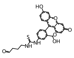 O=CCCCNC(=S)Nc1ccc(-c2c3ccc(=O)cc-3oc3cc(O)ccc23)c(C(=O)O)c1